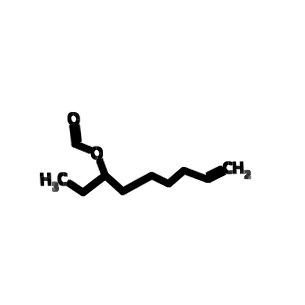 C=CCCCCC(CC)OC=O